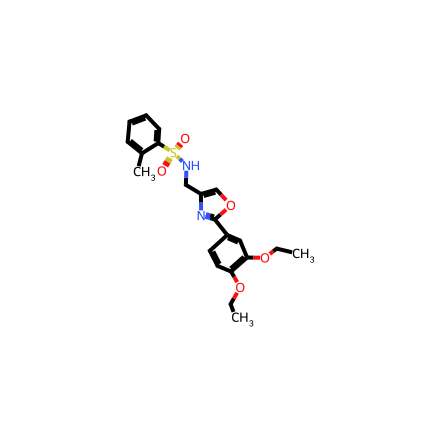 CCOc1ccc(-c2nc(CNS(=O)(=O)c3ccccc3C)co2)cc1OCC